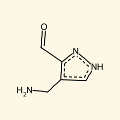 NCc1c[nH]nc1C=O